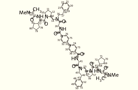 CN[C@@H](C)C(=O)N[C@H](C(=O)N1CCC[C@H]1CN(CCc1ccccc1)C(=O)CNC(=O)c1ccc(-c2ccc(C(=O)NCC(=O)N(CCc3ccccc3)C[C@@H]3CCCN3C(=O)[C@@H](NC(=O)[C@H](C)NC)C3CCCC3)cc2)cc1)C1CCCC1